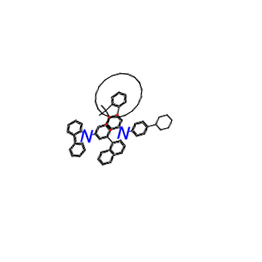 CC1(C)c2ccccc2-c2cc(N(c3ccc(C4CCCCC4)cc3)c3ccc4ccccc4c3-c3cc(C4CCCCCCCCCCCCCCCCC4)cc(-n4c5ccccc5c5ccccc54)c3)ccc21